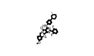 COc1ccc(CN2Cc3nc(-c4c(F)cccc4F)nc(Nc4ccc(C5CCC[C@@H](C)C5)cc4)c3C2=O)c(OC)c1